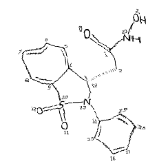 O=C(C[C@H]1c2ccccc2S(=O)(=O)N1c1ccccc1)NO